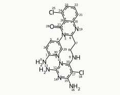 Nc1ccc(-n2c(CCNc3nc(N)nc(N)c3Cl)nc3cccc(Cl)c3c2=O)cn1